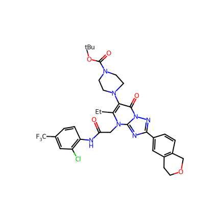 CCc1c(N2CCN(C(=O)OC(C)(C)C)CC2)c(=O)n2nc(-c3ccc4c(c3)CCOC4)nc2n1CC(=O)Nc1ccc(C(F)(F)F)cc1Cl